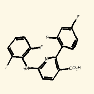 O=C(O)c1ccc(Nc2c(F)cccc2F)nc1-c1ccc(F)cc1F